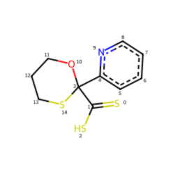 S=C(S)C1(c2ccccn2)OCCCS1